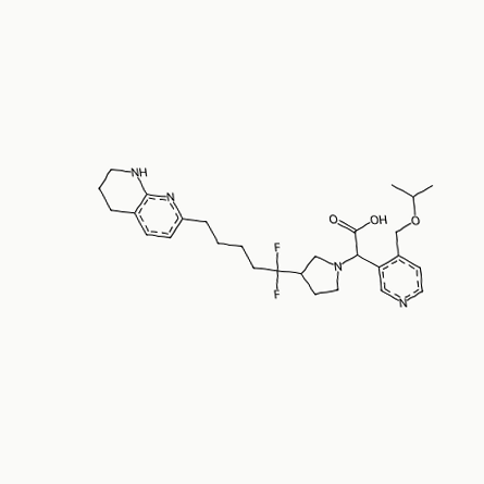 CC(C)OCc1ccncc1C(C(=O)O)N1CCC(C(F)(F)CCCCc2ccc3c(n2)NCCC3)C1